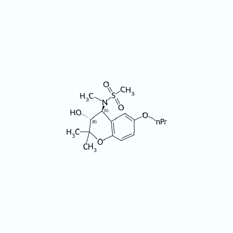 CCCOc1ccc2c(c1)[C@H](N(C)S(C)(=O)=O)[C@@H](O)C(C)(C)O2